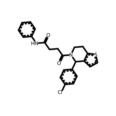 O=C(CCC(=O)N1CCc2sccc2C1c1ccc(Cl)cc1)Nc1ccccc1